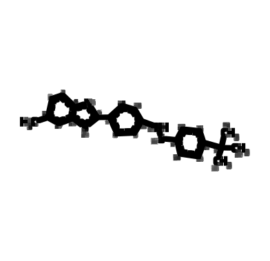 Cc1ccc2nc(-c3ccc(NSc4ccc(C(C)(C)C)cc4)cc3)sc2c1